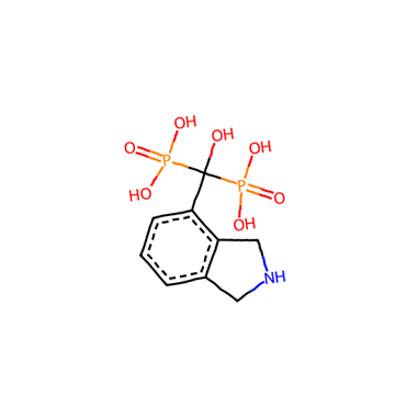 O=P(O)(O)C(O)(c1cccc2c1CNC2)P(=O)(O)O